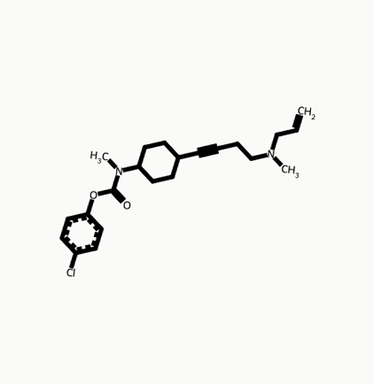 C=CCN(C)CCC#CC1CCC(N(C)C(=O)Oc2ccc(Cl)cc2)CC1